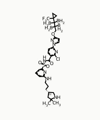 BC(B)(COc1ccn(-c2ccc(C(=O)NS(=O)(=O)c3cccc(NCCC[C@@H]4CNC(C)(C)C4)n3)c(Cl)n2)n1)C(B)(B)C1(C(F)(F)F)CC1